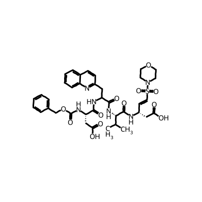 CC(C)[C@H](NC(=O)C(Cc1ccc2ccccc2n1)NC(=O)[C@H](CC(=O)O)NC(=O)OCc1ccccc1)C(=O)N[C@H](/C=C/S(=O)(=O)N1CCOCC1)CC(=O)O